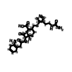 NC(=O)NCCn1nnnc1SCC1=C(C(=O)O)N2C(=O)C(NC(=O)CC3=C(N)CC=CC3)[C@H]2SC1